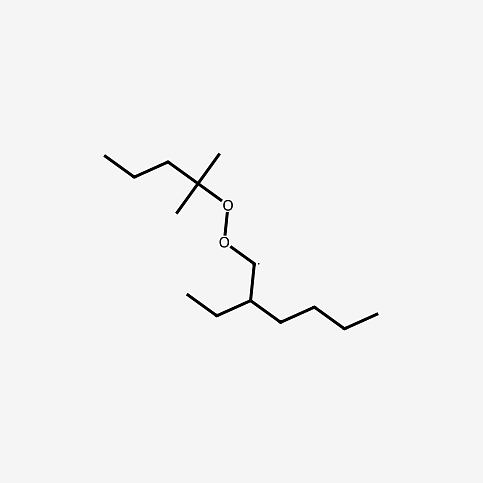 CCCCC([CH]OOC(C)(C)CCC)CC